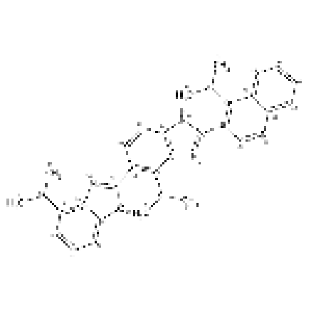 CC(C)c1c(-c2nc3c(C(C)C)c(-c4nc5c(C(C)C)cccc5o4)ccc3[nH]2)cnc2ccccc12